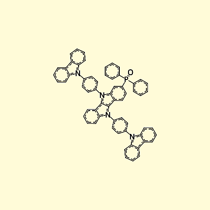 O=P(c1ccccc1)(c1ccccc1)c1ccc2c(c1)n(-c1ccc(-n3c4ccccc4c4ccccc43)cc1)c1c3ccccc3n(-c3ccc(-n4c5ccccc5c5ccccc54)cc3)c21